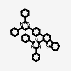 c1ccc(-c2cc(-c3ccc(-c4ccc5c(sc6ccccc65)c4-c4nc(-c5ccccc5)nc(-c5ccccc5)n4)cc3)nc(-c3ccccc3)n2)cc1